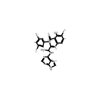 CC(Nc1ncnc2[nH]cnc12)c1nc2ccc(F)c(Cl)c2c(=O)n1-c1cc(F)cc(F)c1